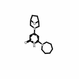 O=c1cc(N2CC3CCC(C2)O3)cc(N2CCCCCC2)[nH]1